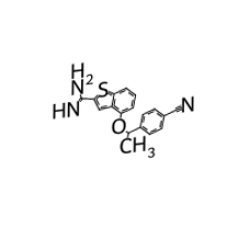 CC(Oc1cccc2sc(C(=N)N)cc12)c1ccc(C#N)cc1